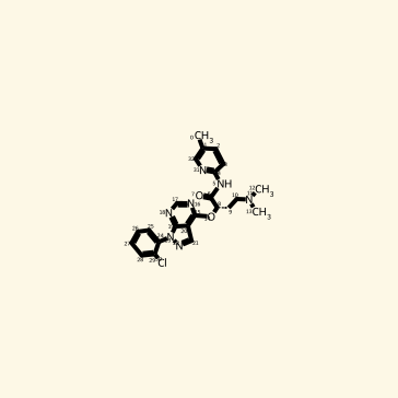 Cc1ccc(NC(=O)[C@H](CCN(C)C)Oc2ncnc3c2cnn3-c2ccccc2Cl)nc1